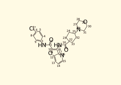 O=C(Nc1ccc(Cl)cc1)c1oc2cccnc2c1NC(=O)C1CCC(N2CCOCC2)CC1